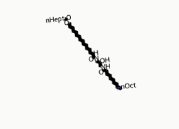 CCCCCCCC/C=C\CCCCCCCC(=O)NCC(O)CNC(=O)CCCCCCCCCCCCCCCOC(=O)CCCCCCC